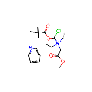 CC[N+](CC)(CC(=O)OC)C(Cl)OC(=O)C(C)(C)C.c1ccncc1